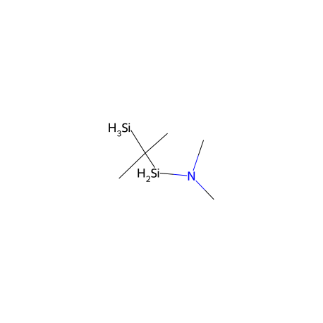 CN(C)[SiH2]C(C)(C)[SiH3]